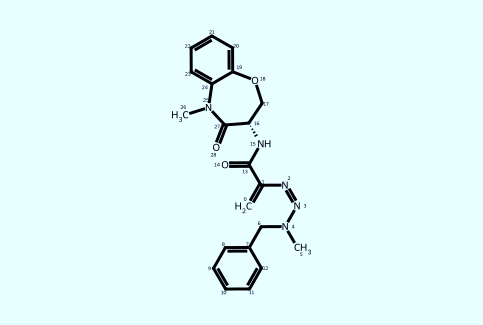 C=C(/N=N\N(C)Cc1ccccc1)C(=O)N[C@H]1COc2ccccc2N(C)C1=O